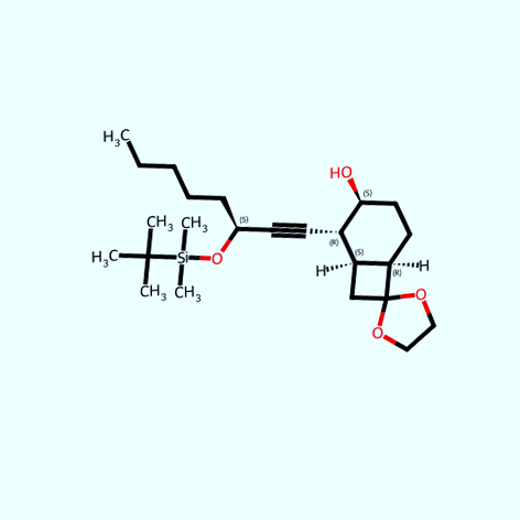 CCCCC[C@@H](C#C[C@H]1[C@@H]2CC3(OCCO3)[C@@H]2CC[C@@H]1O)O[Si](C)(C)C(C)(C)C